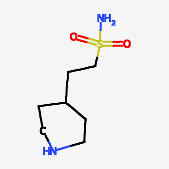 NS(=O)(=O)CCC1CCNCC1